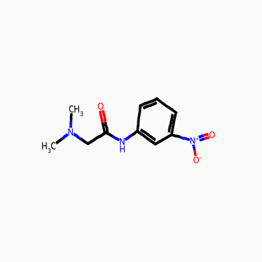 CN(C)CC(=O)Nc1cccc([N+](=O)[O-])c1